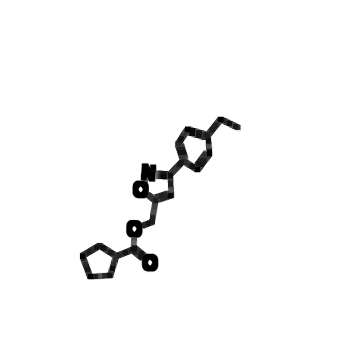 CCc1ccc(-c2cc(COC(=O)C3CCCC3)on2)cc1